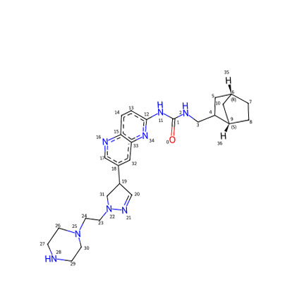 O=C(NCC1C[C@@H]2CC[C@H]1C2)Nc1ccc2ncc(C3C=NN(CCN4CCNCC4)C3)cc2n1